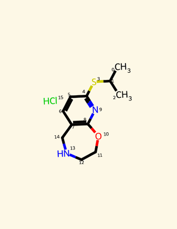 CC(C)Sc1ccc2c(n1)OCCNC2.Cl